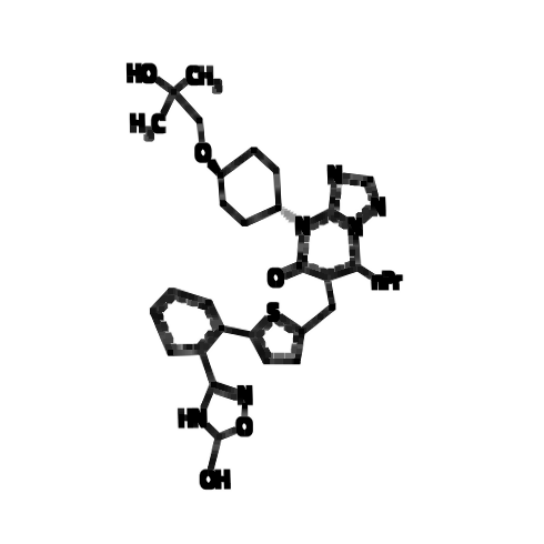 CCCc1c(Cc2ccc(-c3ccccc3C3=NOC(O)N3)s2)c(=O)n([C@H]2CC[C@H](OCC(C)(C)O)CC2)c2ncnn12